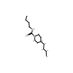 CCCCOC(=O)N1CCC(CCCC)CC1